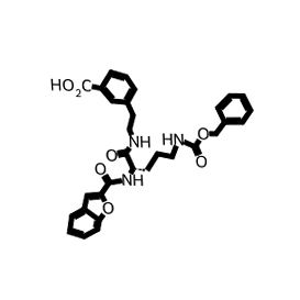 O=C(NCCC[C@H](NC(=O)c1cc2ccccc2o1)C(=O)NCCc1cccc(C(=O)O)c1)OCc1ccccc1